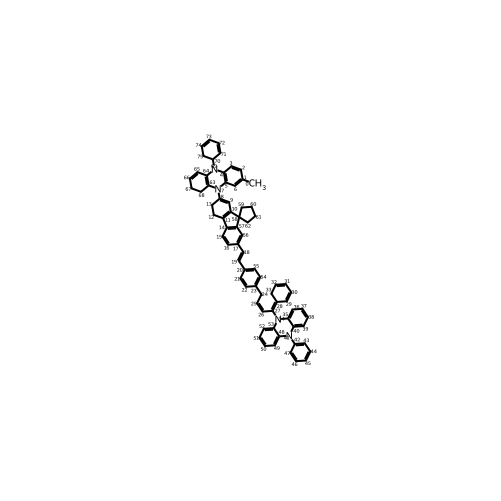 Cc1ccc2c(c1)N(C1=CC3=C(CC1)c1ccc(/C=C/c4ccc(C/C=C\C(=C5\C=CC=CC5)N5c6ccccc6N(c6ccccc6)c6ccccc65)cc4)cc1C31CCCC1)C1=C(C=CCC1)N2C1C=CC=CC1